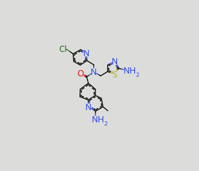 Cc1cc2cc(C(=O)N(Cc3ccc(Cl)cn3)Cc3cnc(N)s3)ccc2nc1N